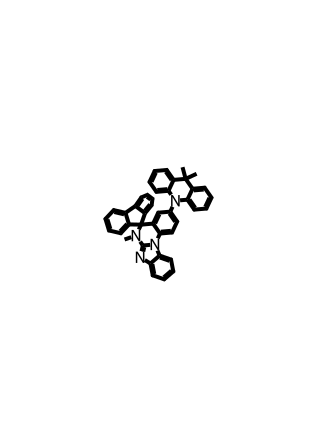 CN1c2nc3ccccc3n2-c2ccc(N3c4ccccc4C(C)(C)c4ccccc43)cc2C12c1ccccc1-c1ccccc12